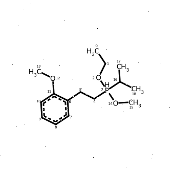 CCO[PH](CCc1ccccc1OC)(OC)C(C)C